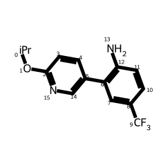 CC(C)Oc1ccc(-c2cc(C(F)(F)F)ccc2N)cn1